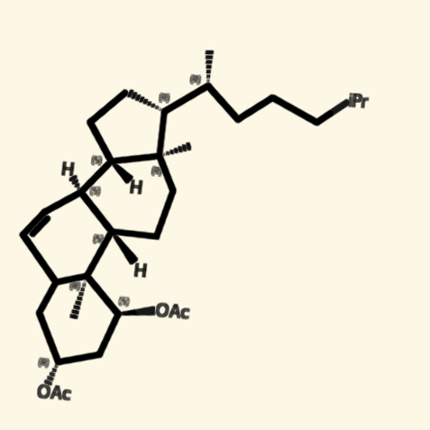 CC(=O)O[C@@H]1CC2C=C[C@H]3[C@@H]4CC[C@H]([C@H](C)CCCC(C)C)[C@@]4(C)CC[C@@H]3[C@@]2(C)[C@@H](OC(C)=O)C1